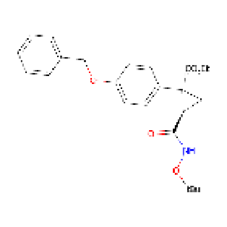 CCOC(=O)[C@]1(c2ccc(OCc3ccccc3)cc2)C[C@H]1C(=O)NOC(C)(C)C